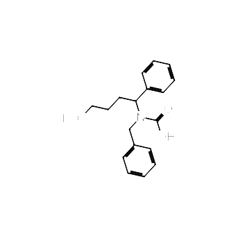 CCCCC(c1ccccc1)N(Cc1ccccc1)C(=O)O